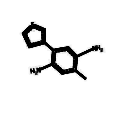 Cc1cc(N)c(-c2ccsc2)cc1N